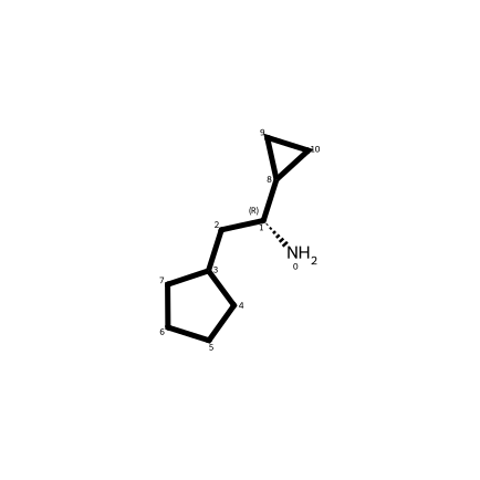 N[C@H](CC1CCCC1)C1CC1